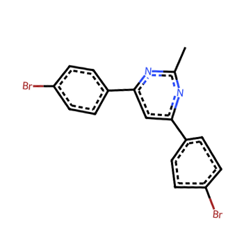 Cc1nc(-c2ccc(Br)cc2)cc(-c2ccc(Br)cc2)n1